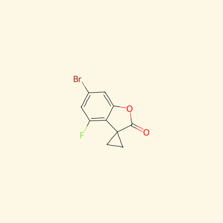 O=C1Oc2cc(Br)cc(F)c2C12CC2